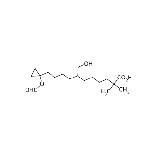 CC(C)(CCCCC(CO)CCCCC1(OC=O)CC1)C(=O)O